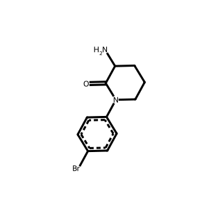 NC1CCCN(c2ccc(Br)cc2)C1=O